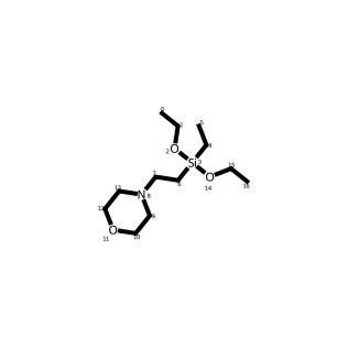 CCO[Si](CC)(CCN1CCOCC1)OCC